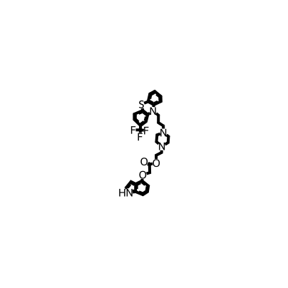 O=C(COc1cccc2[nH]ccc12)OCCN1CCN(CCCN2c3ccccc3Sc3ccc(C(F)(F)F)cc32)CC1